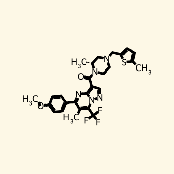 COc1ccc(-c2nc3c(C(=O)N4CCN(Cc5ccc(C)s5)C[C@H]4C)cnn3c(C(F)(F)F)c2C)cc1